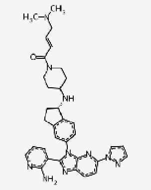 CN(C)C/C=C/C(=O)N1CCC(N[C@H]2CCc3cc(-n4c(-c5cccnc5N)nc5ccc(-n6cccn6)nc54)ccc32)CC1